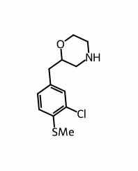 CSc1ccc(CC2CNCCO2)cc1Cl